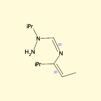 C/C=C(\N=C/N(N)C(C)C)C(C)C